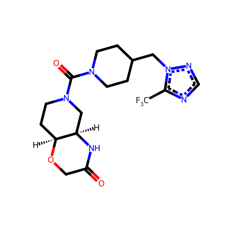 O=C1CO[C@H]2CCN(C(=O)N3CCC(Cn4ncnc4C(F)(F)F)CC3)C[C@H]2N1